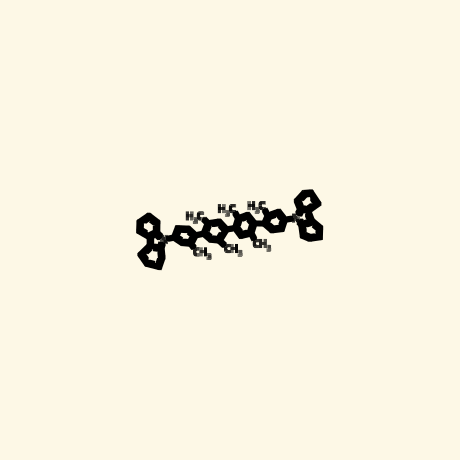 Cc1cc(-n2c3ccccc3c3ccccc32)ccc1-c1cc(C)c(-c2cc(C)c(-c3ccc(-n4c5ccccc5c5ccccc54)cc3C)cc2C)cc1C